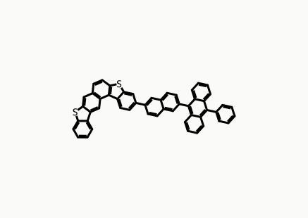 c1ccc(-c2c3ccccc3c(-c3ccc4cc(-c5ccc6c(c5)sc5ccc7cc8sc9ccccc9c8cc7c56)ccc4c3)c3ccccc23)cc1